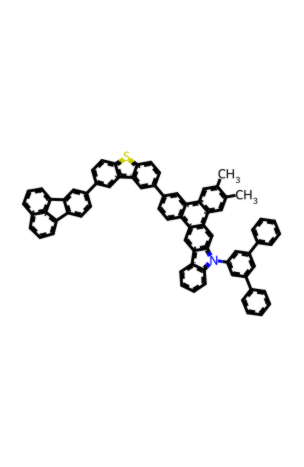 Cc1cc2c3cc(-c4ccc5sc6ccc(-c7ccc8c(c7)-c7cccc9cccc-8c79)cc6c5c4)ccc3c3cc4c5ccccc5n(-c5cc(-c6ccccc6)cc(-c6ccccc6)c5)c4cc3c2cc1C